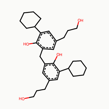 OCCCc1cc(Cc2cc(CCCO)cc(C3CCCCC3)c2O)c(O)c(C2CCCCC2)c1